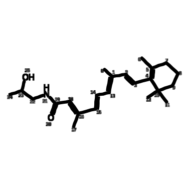 CC(C=CC1=C(C)CCCC1(C)C)=CC=CC(C)=CC(=O)NCC(C)O